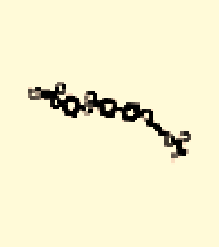 C=C(F)C(=O)OCCCCOc1ccc(-c2ccc(C(=O)Oc3ccc(OC(=O)C(C)(C)C)cc3)cc2)cc1